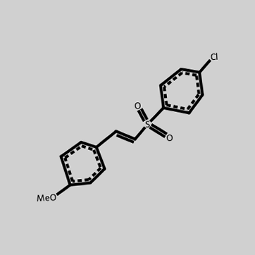 COc1ccc(C=CS(=O)(=O)c2ccc(Cl)cc2)cc1